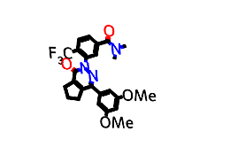 COc1cc(OC)cc(-c2nn(-c3cc(C(=O)N(C)C)ccc3C(F)(F)F)c(=O)c3c2CCC3)c1